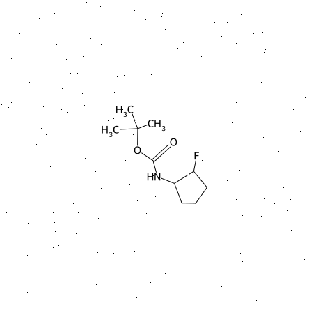 CC(C)(C)OC(=O)NC1CCCC1F